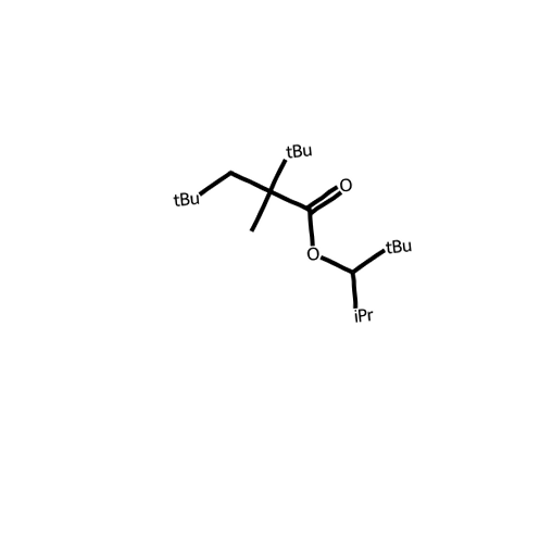 CC(C)C(OC(=O)C(C)(CC(C)(C)C)C(C)(C)C)C(C)(C)C